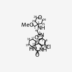 COCC1(NCc2nc3cc(Cl)c4c(c3o2)C2(CCCCC2)NC(=O)N4)CCOCC1